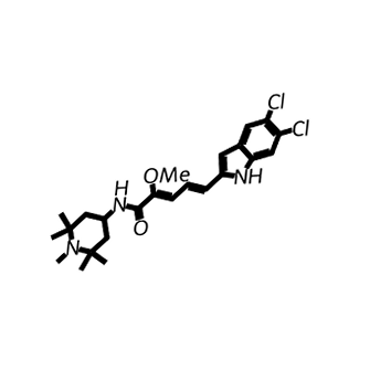 CO/C(=C\C=C\c1cc2cc(Cl)c(Cl)cc2[nH]1)C(=O)NC1CC(C)(C)N(C)C(C)(C)C1